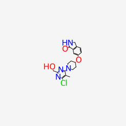 Cc1c(Cl)nc(CO)nc1N1CCC(Oc2ccc3c(c2)C(=O)NC3)CC1